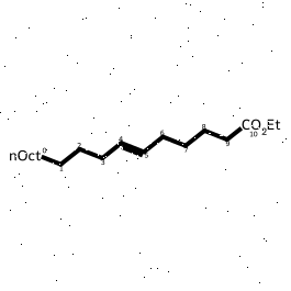 CCCCCCCCCCC/C=C/CCCCC(=O)OCC